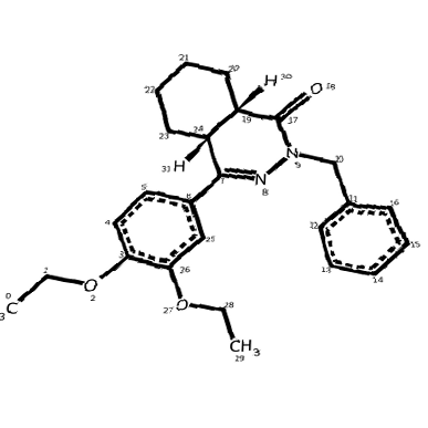 CCOc1ccc(C2=NN(Cc3ccccc3)C(=O)[C@H]3CCCC[C@@H]23)cc1OCC